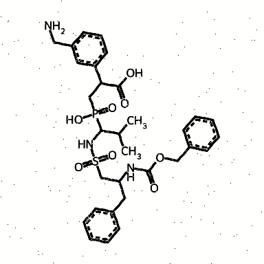 CC(C)C(NS(=O)(=O)CC(Cc1ccccc1)NC(=O)OCc1ccccc1)P(=O)(O)CC(C(=O)O)c1cccc(CN)c1